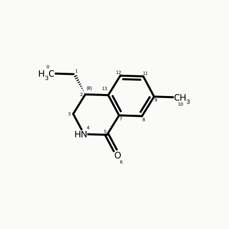 CC[C@H]1CNC(=O)c2cc(C)ccc21